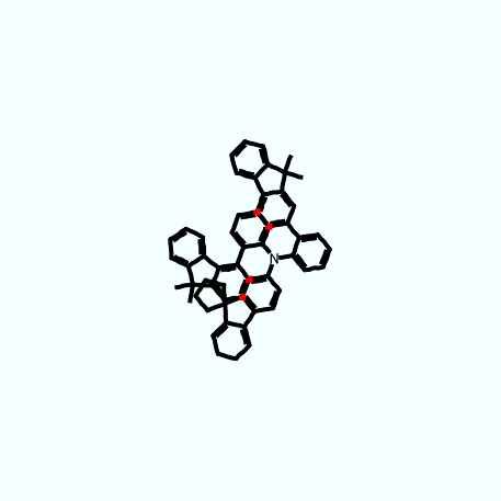 CC1(C)c2ccccc2-c2ccc(-c3ccccc3N(c3ccc4c(c3)C3(CCCC3)C3=CCCC=C34)c3ccccc3-c3cccc4c3-c3ccccc3C4(C)C)cc21